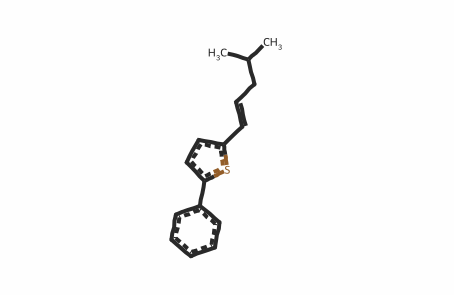 CC(C)C/C=C/c1ccc(-c2ccccc2)s1